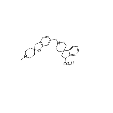 CN1CCC2(CC1)Cc1ccc(CN3CCC4(CC3)CC(C(=O)O)c3ccccc34)cc1O2